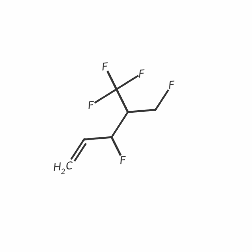 C=CC(F)C(CF)C(F)(F)F